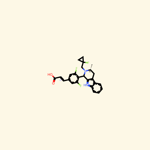 C[C@@H]1Cc2c([nH]c3ccccc23)C(c2c(F)cc(/C=C/C(=O)O)cc2F)N1CC1(F)CC1